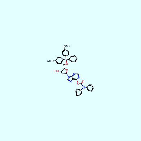 COc1ccc(C(OC[C@H]2O[C@@H](n3cnc4c(OC(=O)N(c5ccccc5)c5ccccc5)ncnc43)C[C@@H]2O)(c2ccccc2)c2ccc(OC)cc2)cc1